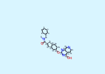 CN(Cc1ccccc1)C(=O)C1=Cc2cc(Oc3nc(O)c4ccncc4n3)ccc2C1